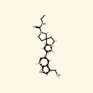 CCNC(=O)N1CCC2(CCn3nc(-c4cnc5[nH]cc(CO)c5c4)cc32)C1